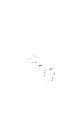 Cc1ccccc1N=Cc1ccccc1